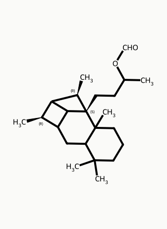 CC(CC[C@]12C3C(CC4C(C)(C)CCCC41C)[C@@H](C)C3[C@H]2C)OC=O